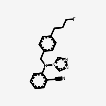 N#Cc1ccccc1N(Cc1ccc(CCCF)cc1)n1cnnc1